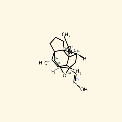 CC1CCC23CCC[C@]24N(C)O[C@H](C[C@@]2(/C=N/O)O[C@H]2[C@@H]3C)C14C